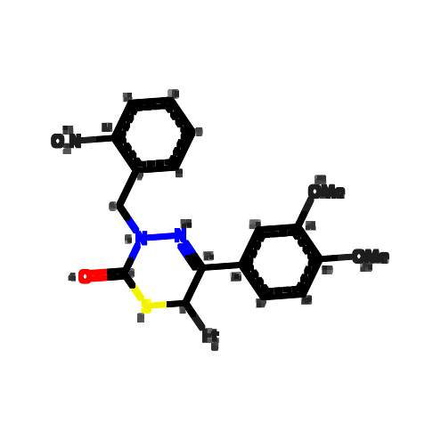 CCC1SC(=O)N(Cc2ccccc2[N+](=O)[O-])N=C1c1ccc(OC)c(OC)c1